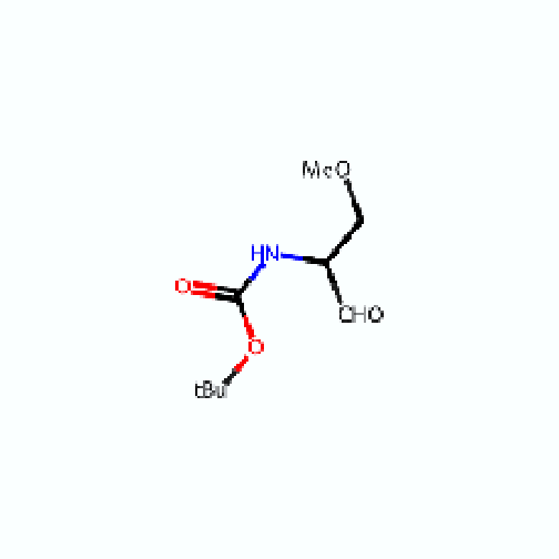 COCC(C=O)NC(=O)OC(C)(C)C